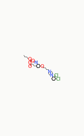 CCCCOC(=O)OCN(C)c1cc(OCCCCN2CCN(c3cccc(Cl)c3Cl)CC2)ccc1CCC=O